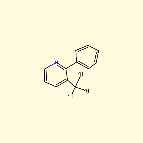 [2H]C([2H])([2H])c1cccnc1-c1ccccc1